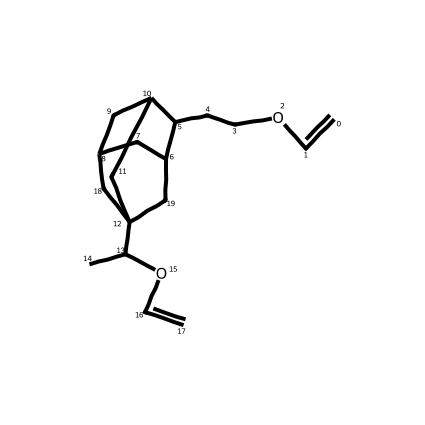 C=COCCC1C2CC3CC1CC(C(C)OC=C)(C3)C2